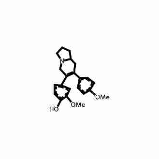 COc1ccc(C2=C(c3ccc(O)c(OC)c3)CN3CCCC3C2)cc1